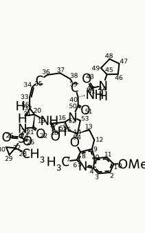 COc1ccc2nc(C)c3c(c2c1)CC[C@]1(C[C@H]2C(=O)N[C@]4(C(=O)NS(=O)(=O)C5(C)CC5)C[C@H]4/C=C\CCCCC[C@H](NC(=O)NC4CCCC4)C(=O)N2C1)O3